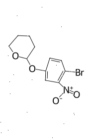 O=[N+]([O-])c1cc(OC2CCCCO2)ccc1Br